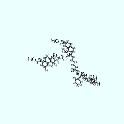 CC[N+]1=C(/C=C/C=C/C=C2/N(CCCCCC(=O)OC[C@@H](C(=O)O[C@H]3CC4[C@H](O)[C@H](C3)N4C)c3ccccc3)c3ccc4ccc(S(=O)(=O)O)cc4c3C2(C)C)C(C)(C)c2c1ccc1c(S(=O)(=O)O)cc(C)cc21